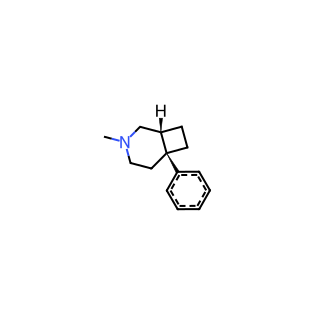 CN1CC[C@@]2(c3ccccc3)CC[C@H]2C1